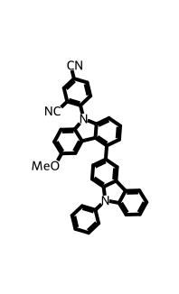 COc1ccc2c(c1)c1c(-c3ccc4c(c3)c3ccccc3n4-c3ccccc3)cccc1n2-c1ccc(C#N)cc1C#N